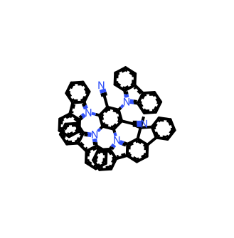 CC1(C)c2ccccc2-c2ccc3c4ccccc4n(-c4c(C#N)c(-n5c6ccccc6c6ccccc65)c(C#N)c(-n5c6ccccc6c6ccccc65)c4-n4c5ccccc5c5ccccc54)c3c21